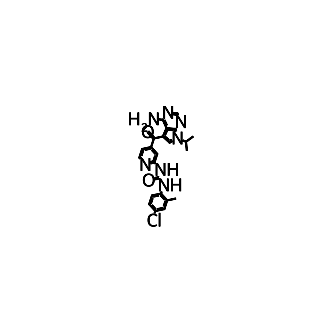 Cc1cc(Cl)ccc1NC(=O)Nc1cc(C(=O)c2cn(C(C)C)c3ncnc(N)c23)ccn1